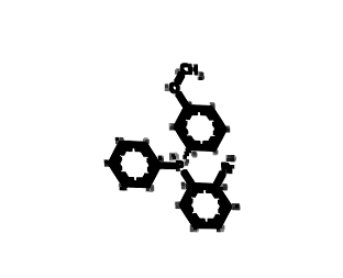 COc1cccc([P@@](c2ccccc2)c2ccccc2Br)c1